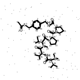 CC(=O)SCc1ccc(CNC(=O)[C@@H]2CCCN2C(=O)[C@@H]2CCCN2C(=O)[C@H](C(C)C)N(C)C(=O)[C@@H](NC(=O)[C@H](C(C)C)N(C)C)C(C)C)cc1